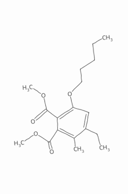 CCCCCOc1cc(CC)c(C)c(C(=O)OC)c1C(=O)OC